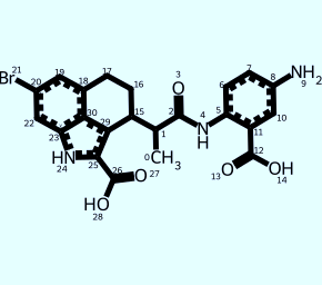 CC(C(=O)Nc1ccc(N)cc1C(=O)O)C1CCc2cc(Br)cc3[nH]c(C(=O)O)c1c23